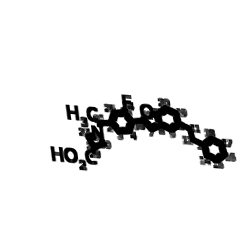 CC(c1ccc(-c2cc3cc(CCc4ccccc4)ccc3o2)c(F)c1)N1CC(C(=O)O)C1